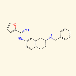 N=C(Nc1ccc2c(c1)CC(NCc1ccccc1)CC2)c1ccco1